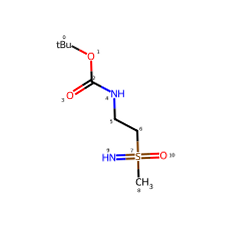 CC(C)(C)OC(=O)NCCS(C)(=N)=O